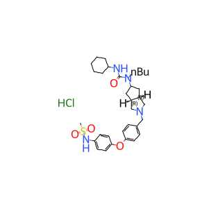 CCCCN(C(=O)NC1CCCCC1)C1C[C@@H]2CN(Cc3ccc(Oc4ccc(NS(C)(=O)=O)cc4)cc3)C[C@@H]2C1.Cl